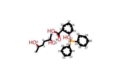 CC(O)CCC(C)O.O=C(O)c1ccccc1.OP(c1ccccc1)c1ccccc1